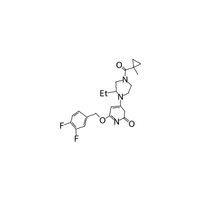 CCC1CN(C(=O)C2(C)CC2)CCN1C1=CC(OCc2ccc(F)c(F)c2)=NC(=O)C1